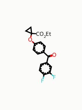 CCOC(=O)C1(Oc2ccc(C(=O)c3ccc(F)c(F)c3)cc2)CC1